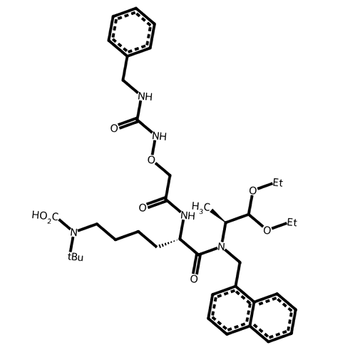 CCOC(OCC)[C@H](C)N(Cc1cccc2ccccc12)C(=O)[C@H](CCCCN(C(=O)O)C(C)(C)C)NC(=O)CONC(=O)NCc1ccccc1